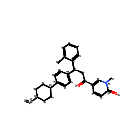 Cc1ccccc1[C@@H](CC(=O)c1ccc(=O)n(C)c1)c1ccc(C2CCC(C(=O)O)CC2)cc1